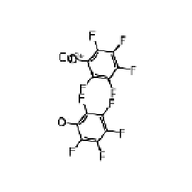 [Cu+2].[O-]c1c(F)c(F)c(F)c(F)c1F.[O-]c1c(F)c(F)c(F)c(F)c1F